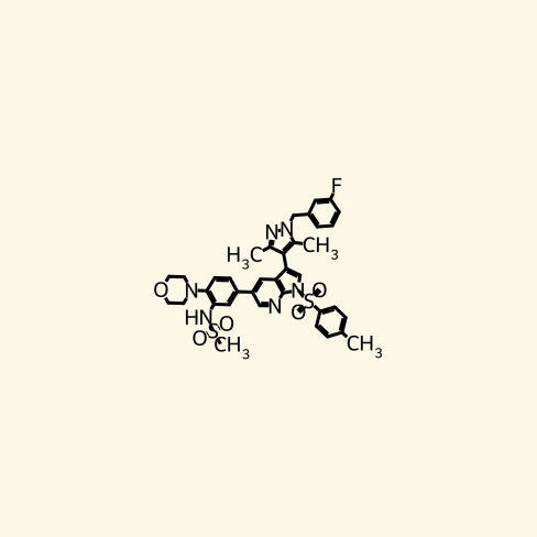 Cc1ccc(S(=O)(=O)n2cc(-c3c(C)nn(Cc4cccc(F)c4)c3C)c3cc(-c4ccc(N5CCOCC5)c(NS(C)(=O)=O)c4)cnc32)cc1